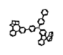 c1ccc(-c2ccc(N(c3ccc(-c4ccc5c(c4)C4CC6CC7CC(c8ccccc8-5)C764)cc3)c3ccc4c(c3)-c3ccccc3C43C4CC5CC(C4)C3C5)cc2)cc1